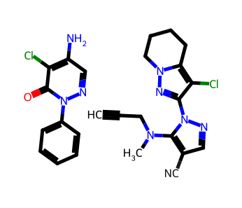 C#CCN(C)c1c(C#N)cnn1-c1nn2c(c1Cl)CCCC2.Nc1cnn(-c2ccccc2)c(=O)c1Cl